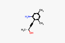 Cc1cc(C)c(C#C[C@@H](C)O)c(N)c1